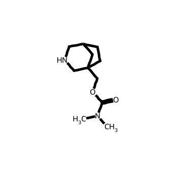 CN(C)C(=O)OCC12CCC(CNC1)C2